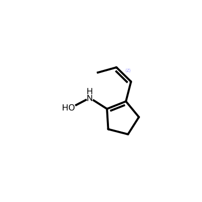 C/C=C\C1=C(NO)CCC1